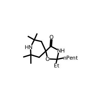 CCCCCC1(CC)NC(=O)C2(CC(C)(C)NC(C)(C)C2)O1